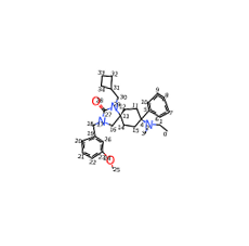 CCN(C)[C@]1(c2ccccc2)CC[C@@]2(CC1)CN(Cc1cccc(OC)c1)C(=O)N2CC1CCC1